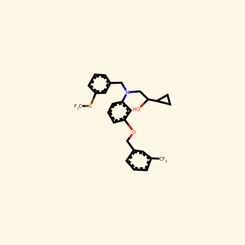 OC(CN(Cc1cccc(SC(F)(F)F)c1)c1cccc(OCc2cccc(C(F)(F)F)c2)c1)C1CC1